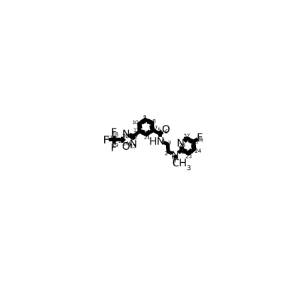 CN(CCNC(=O)c1cccc(-c2noc(C(F)(F)F)n2)c1)c1ccc(F)cn1